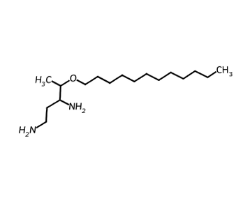 CCCCCCCCCCCCOC(C)C(N)CCN